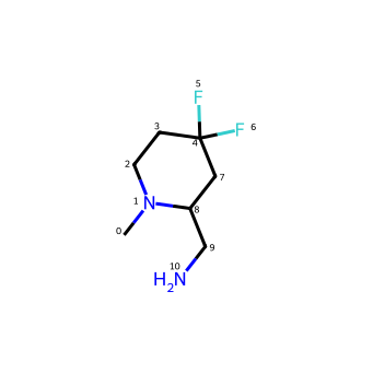 CN1CCC(F)(F)CC1CN